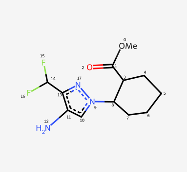 COC(=O)C1CCCCC1n1cc(N)c(C(F)F)n1